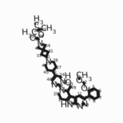 COCOc1ccccc1-c1cc2c3c([nH]c2nn1)CCN(c1ncc(C2CCN(C4CC5(C4)CN(C(=O)OC(C)(C)C)C5)CC2)cn1)C3CO